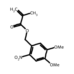 C=C(C)C(=O)OCc1cc(OC)c(OC)cc1[N+](=O)[O-]